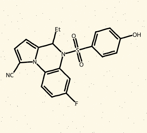 CCC1c2ccc(C#N)n2-c2ccc(F)cc2N1S(=O)(=O)c1ccc(O)cc1